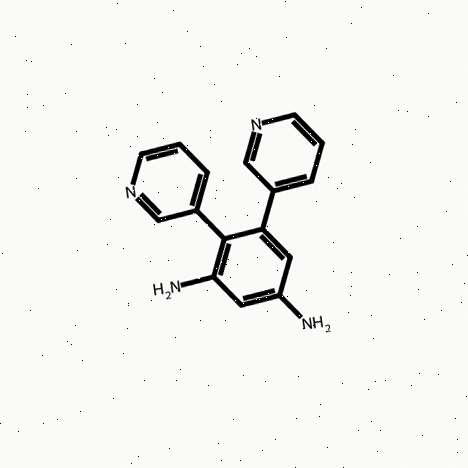 Nc1cc(N)c(-c2cccnc2)c(-c2cccnc2)c1